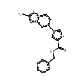 Nc1nc2cc(-c3csc(C(=O)NCc4ccccc4)c3)ccn2n1